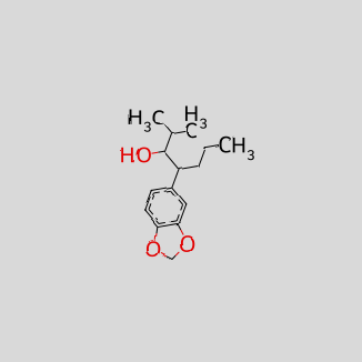 CCCC(c1ccc2c(c1)OCO2)C(O)C(C)C